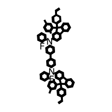 C=Cc1ccc(C2(c3cc(C)ccc3C)c3ccccc3-c3ccc(N(c4ccc(-c5ccc(N(c6ccc7c(c6)C(C6=CCC(C=C)C=C6)(c6cc(C)ccc6C)c6ccccc6-7)c6ccccc6F)cc5)cc4)c4ccccc4F)cc32)cc1